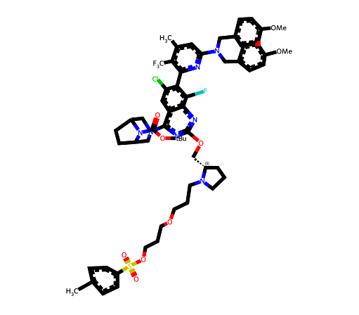 COc1ccc(CN(Cc2ccc(OC)cc2)c2cc(C)c(C(F)(F)F)c(-c3c(Cl)cc4c(N5CC6CCC(C5)N6C(=O)OC(C)(C)C)nc(OC[C@@H]5CCCN5CCCOCCCOS(=O)(=O)c5ccc(C)cc5)nc4c3F)n2)cc1